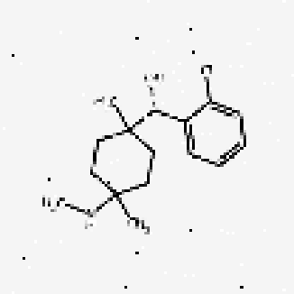 CNC1(C)CCC(C)([C@H](O)c2ccccc2Cl)CC1